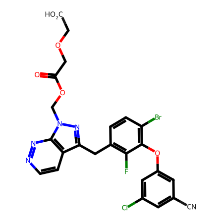 N#Cc1cc(Cl)cc(Oc2c(Br)ccc(Cc3nn(COC(=O)COCC(=O)O)c4nnccc34)c2F)c1